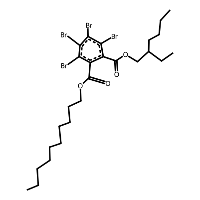 CCCCCCCCCCOC(=O)c1c(Br)c(Br)c(Br)c(Br)c1C(=O)OCC(CC)CCCC